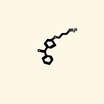 O=C(c1ccccc1)c1ccc(OCCCS(=O)(=O)O)cc1